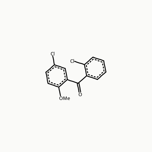 COc1ccc(Cl)cc1C(=O)c1ccccc1Cl